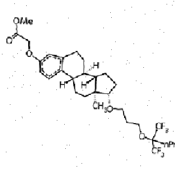 CCCC(OCCCO[C@H]1CC[C@H]2[C@@H]3CCc4cc(OCC(=O)OC)ccc4[C@H]3CC[C@]12C)(C(F)(F)F)C(F)(F)F